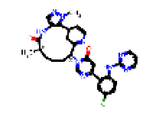 C[C@@H]1CCC[C@H](n2cnc(-c3cc(Cl)ccc3Nc3ncccn3)cc2=O)C2=NC=CC(C2)c2c(cnn2C)NC1=O